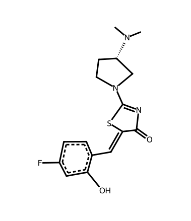 CN(C)[C@H]1CCN(C2=NC(=O)/C(=C/c3ccc(F)cc3O)S2)C1